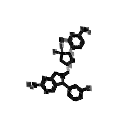 Nc1ccn([C@@H]2O[C@H](CN3Cc4nc(N)ncc4C3c3cccc(Cl)c3)CC2(F)F)c(=O)n1